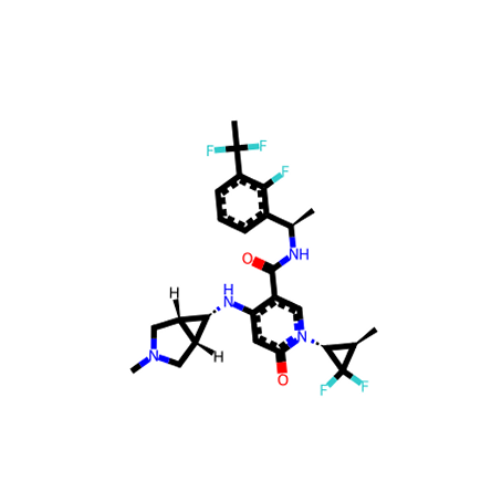 C[C@@H]1[C@@H](n2cc(C(=O)N[C@H](C)c3cccc(C(C)(F)F)c3F)c(N[C@@H]3[C@@H]4CN(C)C[C@@H]43)cc2=O)C1(F)F